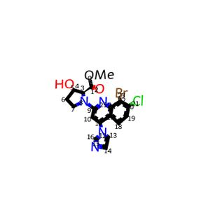 COC(=O)[C@@H]1[C@@H](O)CCN1c1cc(-n2ccnc2)c2ccc(Cl)c(Br)c2n1